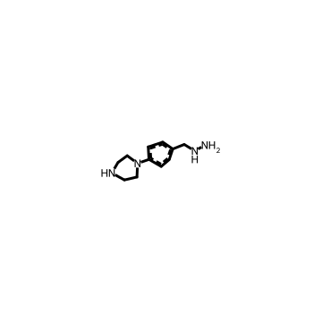 NNCc1ccc(N2CCNCC2)cc1